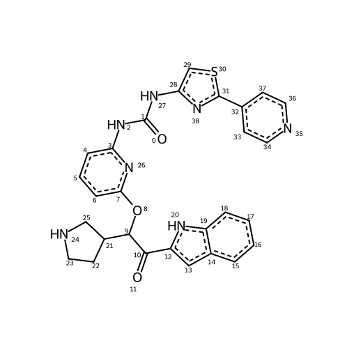 O=C(Nc1cccc(OC(C(=O)c2cc3ccccc3[nH]2)C2CCNC2)n1)Nc1csc(-c2ccncc2)n1